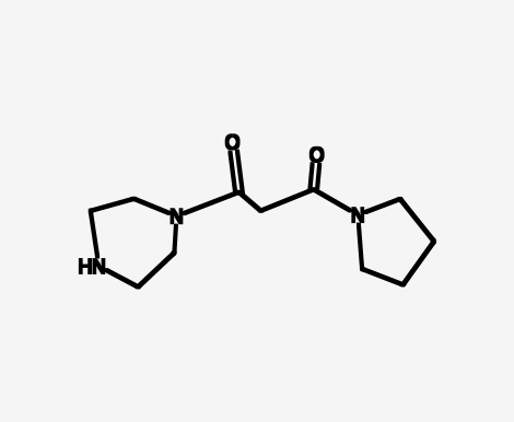 O=C(CC(=O)N1CCNCC1)N1CCCC1